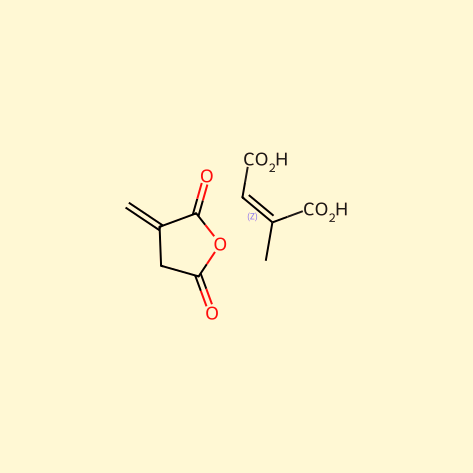 C/C(=C/C(=O)O)C(=O)O.C=C1CC(=O)OC1=O